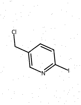 ClCc1ccc(I)nc1